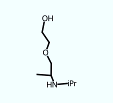 CC(C)NC(C)COCCO